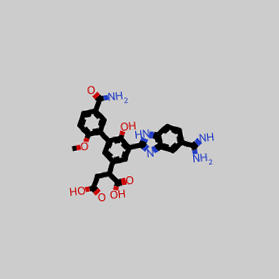 COc1ccc(C(N)=O)cc1-c1cc(C(CC(=O)O)C(=O)O)cc(-c2nc3cc(C(=N)N)ccc3[nH]2)c1O